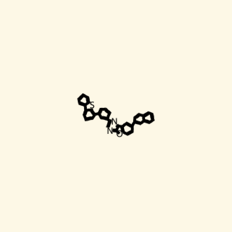 c1cc(-c2cnc3oc4ccc(-c5ccc6ccccc6c5)cc4c3n2)cc(-c2cccc3c2sc2ccccc23)c1